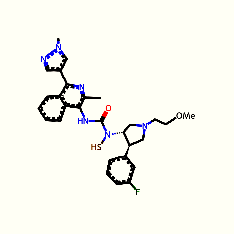 COCCN1C[C@@H](N(S)C(=O)Nc2c(C)nc(-c3cnn(C)c3)c3ccccc23)[C@H](c2cccc(F)c2)C1